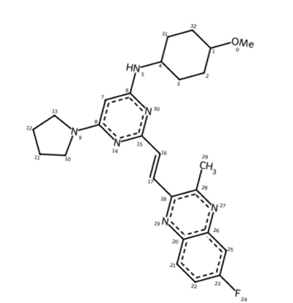 COC1CCC(Nc2cc(N3CCCC3)nc(C=Cc3nc4ccc(F)cc4nc3C)n2)CC1